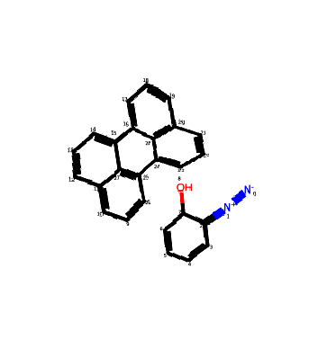 [N-]=[N+]=C1C=CC=CC1O.c1cc2cccc3c4cccc5cccc(c(c1)c23)c54